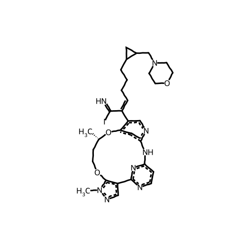 C[C@H]1CCOc2c(cnn2C)-c2nccc(n2)Nc2cc(c(/C(=C/CCCC3CC3CN3CCOCC3)C(=N)I)cn2)O1